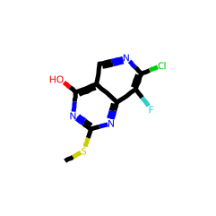 CSc1nc(O)c2cnc(Cl)c(F)c2n1